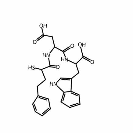 O=C(O)CC(NC(=O)C(S)CCc1ccccc1)C(=O)NC(Cc1c[nH]c2ccccc12)C(=O)O